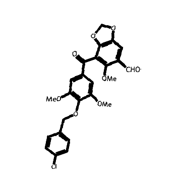 COc1cc(C(=O)c2c(OC)c([C]=O)cc3c2OCO3)cc(OC)c1OCc1ccc(Cl)cc1